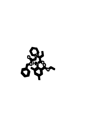 CCOC(=O)c1cc(C)cc(C)c1NC(=O)C(CC)[N+]1(CC(=O)OCc2ccccc2)CCCCC1